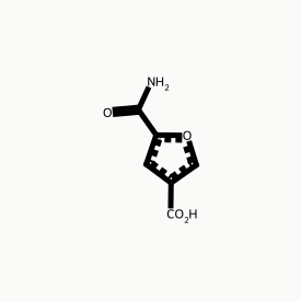 NC(=O)c1cc(C(=O)O)co1